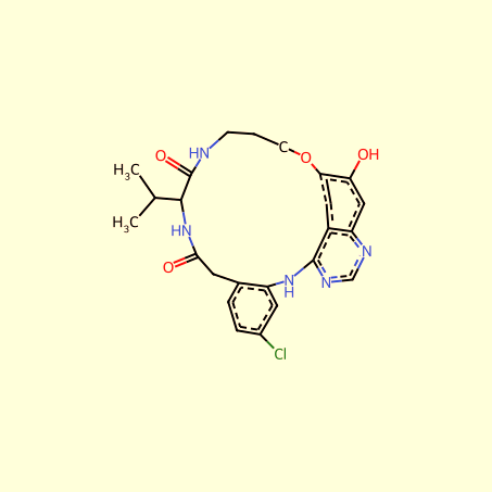 CC(C)C1NC(=O)Cc2ccc(Cl)cc2Nc2ncnc3cc(O)c(cc23)OCCCNC1=O